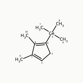 CC1=CC[C]([Ge]([CH3])([CH3])[CH3])=C1C